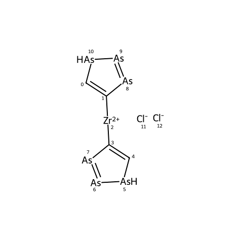 C1=[C]([Zr+2][C]2=C[AsH][As]=[As]2)[As]=[As][AsH]1.[Cl-].[Cl-]